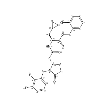 O=C(C[C@@H]1CCC(=O)N1Cc1cccc(F)c1F)N[C@@H](CC1CC1)C(=O)OCc1ccccc1Cl